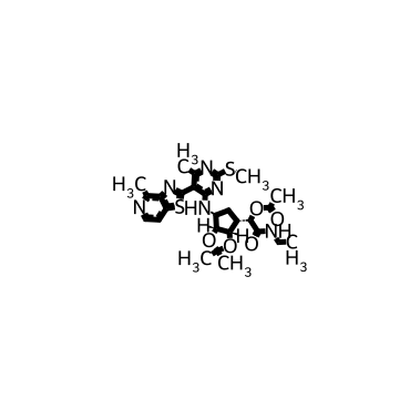 CCNC(=O)C(OC(C)=O)[C@H]1C[C@@H](Nc2nc(SC)nc(C)c2-c2nc3c(C)nccc3s2)[C@@H]2OC(C)(C)O[C@@H]21